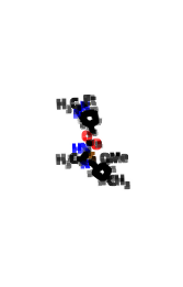 CCn1c(C)nc2cc(COC(=O)Nc3sc(-c4ccc(C)cc4OC)nc3C)ccc21